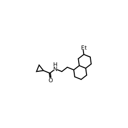 CCC1CCC2CCCC(CCNC(=O)C3CC3)C2C1